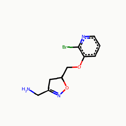 NCC1=NOC(COc2cccnc2Br)C1